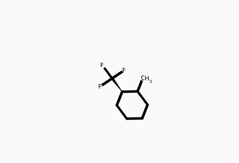 CC1CCCC[C@H]1C(F)(F)F